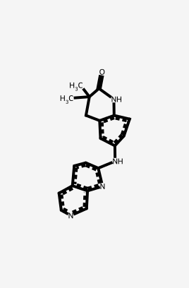 CC1(C)Cc2cc(Nc3ccc4ccncc4n3)ccc2NC1=O